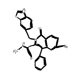 CNC(=O)c1c(-c2ccccc2)c2cc(Br)ccc2c(=O)n1Cc1ccc2c(c1)OCO2